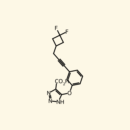 O=C(O)c1nn[nH]c1Oc1cccc(C#CCC2CC(F)(F)C2)c1